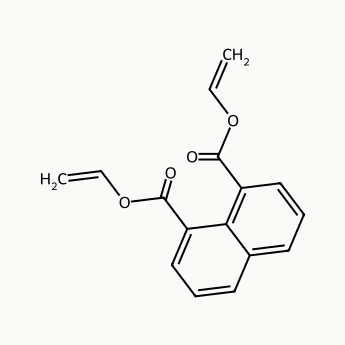 C=COC(=O)c1cccc2cccc(C(=O)OC=C)c12